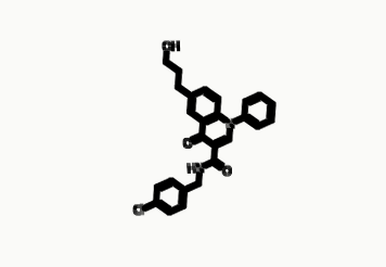 O=C(NCc1ccc(Cl)cc1)c1cn(-c2ccccc2)c2ccc(CCCO)cc2c1=O